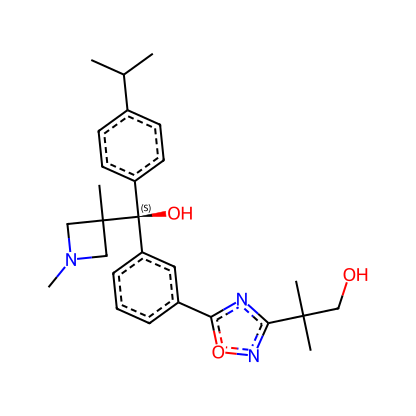 CC(C)c1ccc([C@](O)(c2cccc(-c3nc(C(C)(C)CO)no3)c2)C2(C)CN(C)C2)cc1